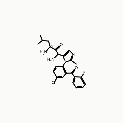 Cc1ncc(C(N)C(=O)[C@@H](N)CC(C)C)n1-c1ccc(Cl)cc1C(=O)c1ccccc1F